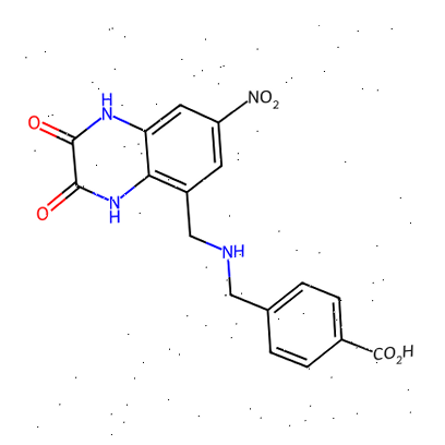 O=C(O)c1ccc([CH]NCc2cc([N+](=O)[O-])cc3[nH]c(=O)c(=O)[nH]c23)cc1